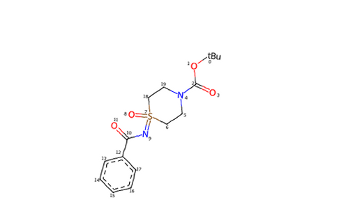 CC(C)(C)OC(=O)N1CCS(=O)(=NC(=O)c2ccccc2)CC1